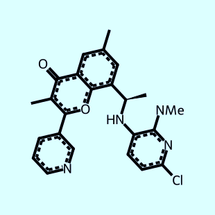 CNc1nc(Cl)ccc1N[C@H](C)c1cc(C)cc2c(=O)c(C)c(-c3cccnc3)oc12